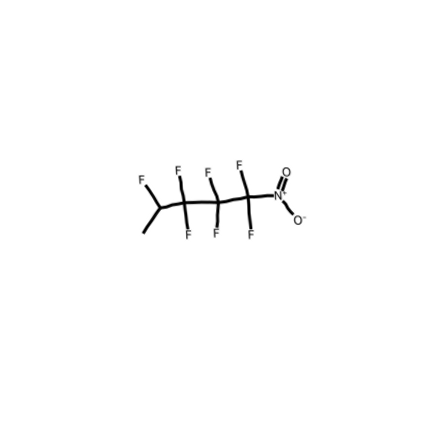 CC(F)C(F)(F)C(F)(F)C(F)(F)[N+](=O)[O-]